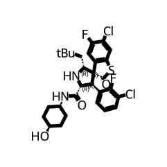 CC(C)(C)C[C@H]1N[C@@H](C(=O)N[C@H]2CC[C@H](O)CC2)[C@H](c2cccc(Cl)c2F)[C@@]12C(=O)Sc1cc(Cl)c(F)cc12